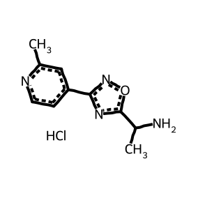 Cc1cc(-c2noc(C(C)N)n2)ccn1.Cl